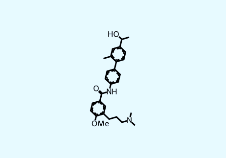 COc1ccc(C(=O)Nc2ccc(-c3ccc(C(C)O)cc3C)cc2)cc1CCCN(C)C